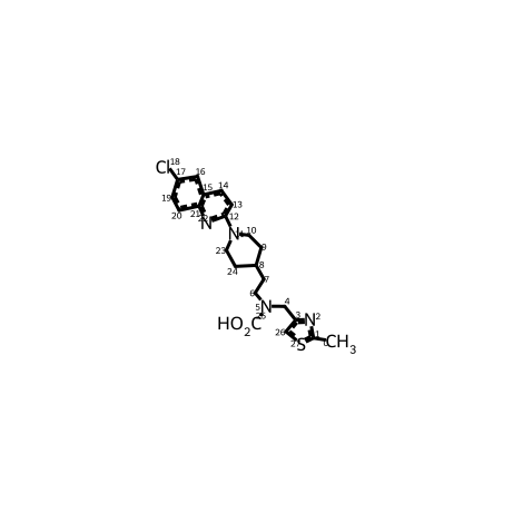 Cc1nc(CN(CCC2CCN(c3ccc4cc(Cl)ccc4n3)CC2)C(=O)O)cs1